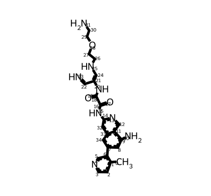 Cc1ccncc1-c1cc(N)c2cnc(NC(=O)C(=O)N/C(C=N)=C/NCCOCCN)cc2c1